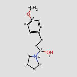 COc1ccc(CCC(O)N2CCCC2)cc1